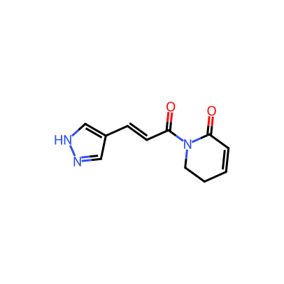 O=C1C=CCCN1C(=O)C=Cc1cn[nH]c1